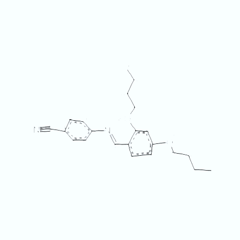 CCCCOc1ccc(/C=N/c2ccc(C#N)cc2)c(OCCCC)c1